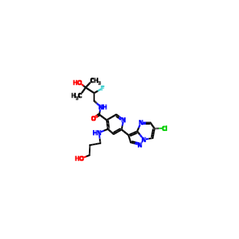 CC(C)(O)C(F)CNC(=O)c1cnc(-c2cnn3cc(Cl)cnc23)cc1NCCCO